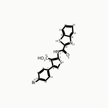 O=C(Nc1scc(-c2ccc(Br)cc2)c1C(=O)O)c1nc2ccccc2s1